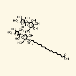 CCCCCCCCCCCCCCCCCC(=O)O.OC[C@H]1O[C@@](CO)(O[C@H]2O[C@H](CO)[C@@H](O)[C@H](O)[C@H]2O)[C@@H](O)[C@@H]1O.OC[C@H]1O[C@@](CO)(O[C@H]2O[C@H](CO)[C@@H](O)[C@H](O)[C@H]2O)[C@@H](O)[C@@H]1O